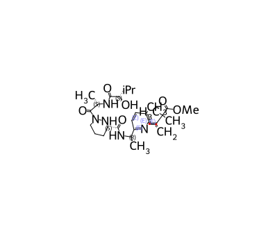 C=C/C=C(C)/C=C\C(=N/C=C/C(C)(C)C(=O)OC)[C@@H](C)NC(=O)[C@@H]1CCCN(C(=O)[C@H](C)NC(=O)[C@@H](O)C(C)C)N1